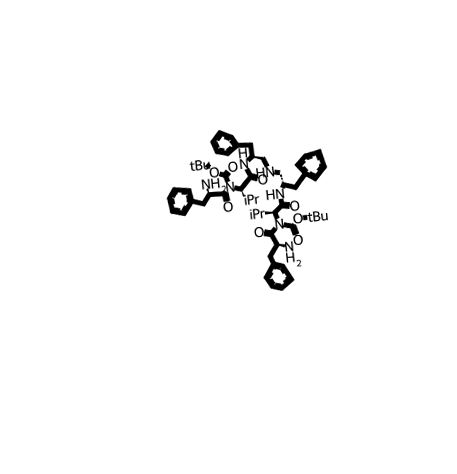 CC(C)[C@@H](C(=O)N[C@H](CNC[C@H](Cc1ccccc1)NC(=O)[C@H](C(C)C)N(C(=O)OC(C)(C)C)C(=O)[C@@H](N)Cc1ccccc1)Cc1ccccc1)N(C(=O)OC(C)(C)C)C(=O)[C@@H](N)Cc1ccccc1